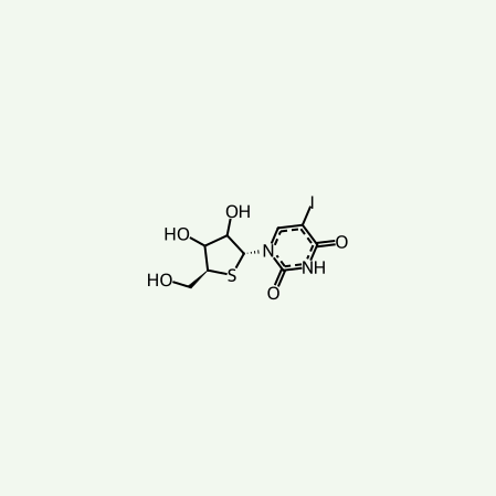 O=c1[nH]c(=O)n([C@@H]2S[C@@H](CO)C(O)C2O)cc1I